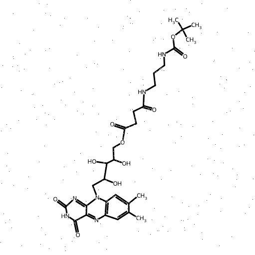 Cc1cc2nc3c(=O)[nH]c(=O)nc-3n(CC(O)C(O)C(O)COC(=O)CCC(=O)NCCCNC(=O)OC(C)(C)C)c2cc1C